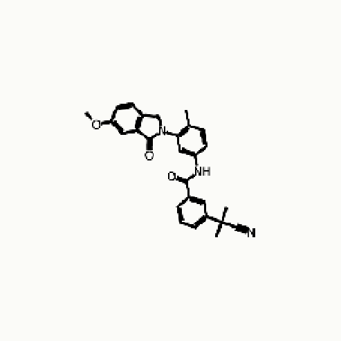 COc1ccc2c(c1)C(=O)N(c1cc(NC(=O)c3cccc(C(C)(C)C#N)c3)ccc1C)C2